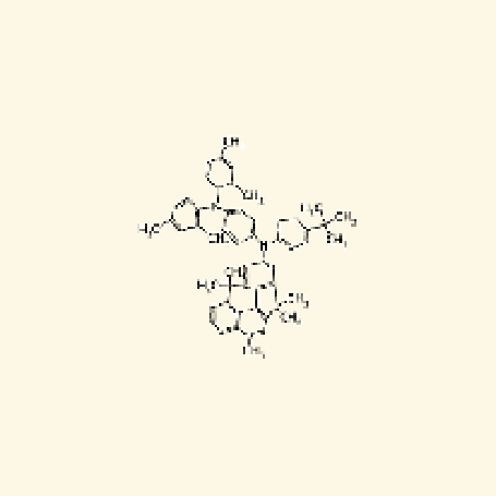 CC1=CC(C)C(N(c2ccc(N(C3=CC=C(C(C)(C)C)CC3)c3cc4c5c(c3)C(C)(C)c3cccc6c(C)cc(c-5c36)C4(C)C)cc2)c2ccc(C)cc2C)C=C1